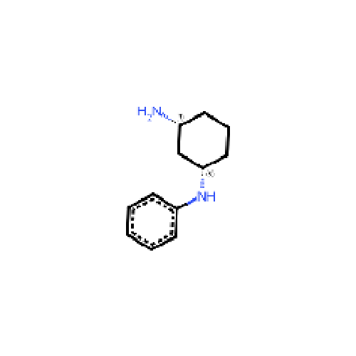 N[C@@H]1CCC[C@H](Nc2ccccc2)C1